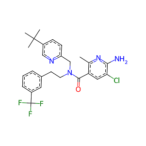 Cc1nc(N)c(Cl)cc1C(=O)N(CCc1cccc(C(F)(F)F)c1)Cc1ccc(C(C)(C)C)cn1